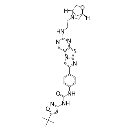 CC(C)(C)c1cc(NC(=O)Nc2ccc(-c3cn4c(n3)sc3nc(NCCN5C[C@@H]6C[C@H]5CO6)ncc34)cc2)no1